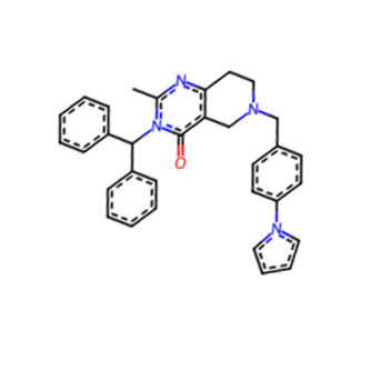 Cc1nc2c(c(=O)n1C(c1ccccc1)c1ccccc1)CN(Cc1ccc(-n3cccc3)cc1)CC2